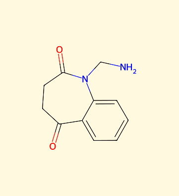 NCN1C(=O)CCC(=O)c2ccccc21